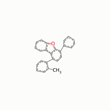 Cc1ccccc1-c1ccc(-c2ccccc2)c2oc3ccccc3c12